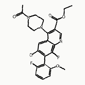 CCOC(=O)c1cnc2c(F)c(-c3c(F)cccc3OC)c(Cl)cc2c1N1CCN(C(C)=O)CC1